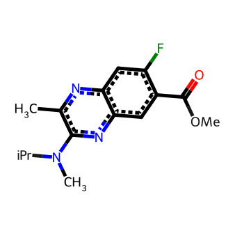 COC(=O)c1cc2nc(N(C)C(C)C)c(C)nc2cc1F